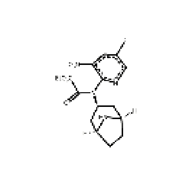 CCOC(=O)C(=O)N(c1ncc(Cl)cc1[N+](=O)[O-])[C@H]1C[C@H]2CC[C@@H](C1)N2